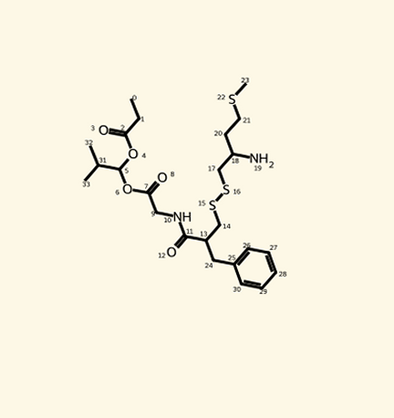 CCC(=O)OC(OC(=O)CNC(=O)C(CSSCC(N)CCSC)Cc1ccccc1)C(C)C